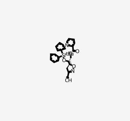 C#CC1=NO[C@H]([C@@H](COC(=O)c2ccccn2)O[Si](c2ccccc2)(c2ccccc2)C(C)(C)C)C1